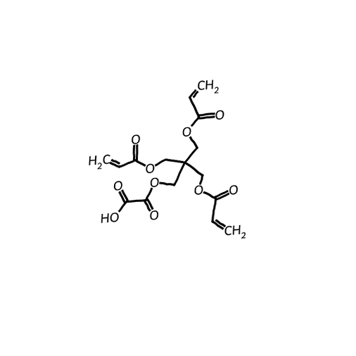 C=CC(=O)OCC(COC(=O)C=C)(COC(=O)C=C)COC(=O)C(=O)O